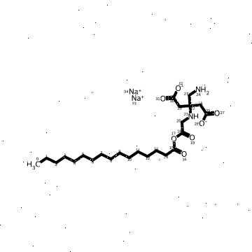 CCCCCCCCCCCCCCCC(=O)OC(=O)CNC(CN)(CC(=O)[O-])CC(=O)[O-].[Na+].[Na+]